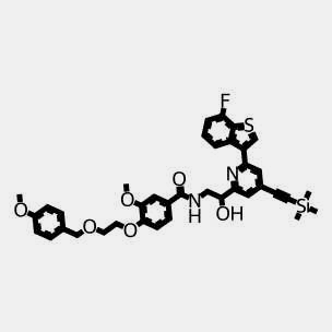 COc1ccc(COCCOc2ccc(C(=O)NCC(O)c3cc(C#C[Si](C)(C)C)cc(-c4csc5c(F)cccc45)n3)cc2OC)cc1